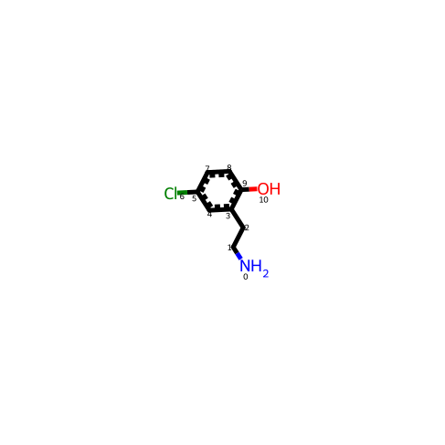 NCCc1cc(Cl)ccc1O